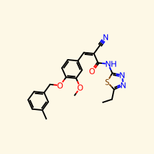 CCc1nnc(NC(=O)C(C#N)=Cc2ccc(OCc3cccc(C)c3)c(OC)c2)s1